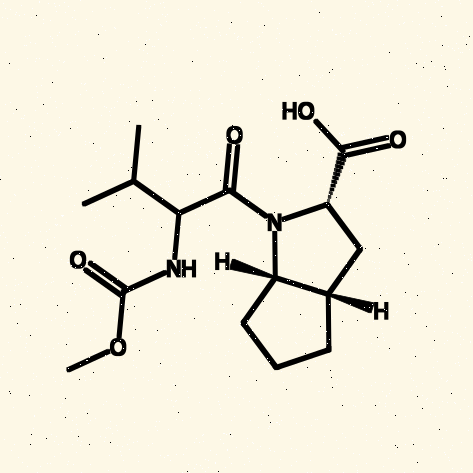 COC(=O)NC(C(=O)N1[C@H](C(=O)O)C[C@@H]2CCC[C@@H]21)C(C)C